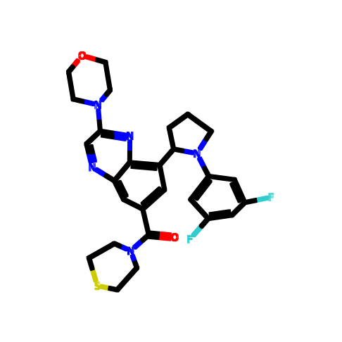 O=C(c1cc(C2CCCN2c2cc(F)cc(F)c2)c2nc(N3CCOCC3)cnc2c1)N1CCSCC1